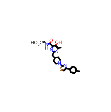 Cc1ccc(-c2csc(N3CCC(Cc4nc(C)c(O)c(C(=O)NCC(=O)O)n4)CC3)n2)cc1